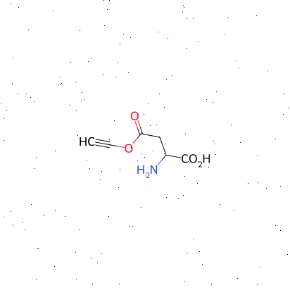 C#COC(=O)CC(N)C(=O)O